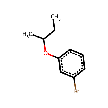 CCC(C)Oc1cccc(Br)c1